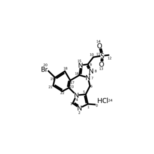 Cc1ncn2c1Cn1nc(CS(C)(=O)=O)nc1-c1cc(Br)ccc1-2.Cl